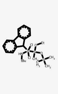 CCO[Si](C)(O[Si](C)(C)C)[Zr]([Cl])([Cl])([NH]C(C)(C)C)[CH]1c2ccccc2-c2ccccc21